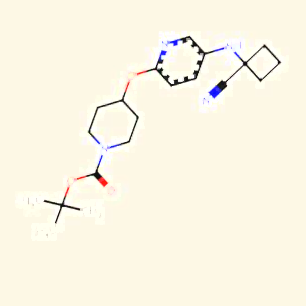 CC(C)(C)OC(=O)N1CCC(Oc2ccc(NC3(C#N)CCC3)cn2)CC1